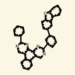 c1ccc(-c2ncc3c4ccccc4c4cnc(-c5cccc(-c6ccc7oc8ccccc8c7c6)c5)nc4c3n2)cc1